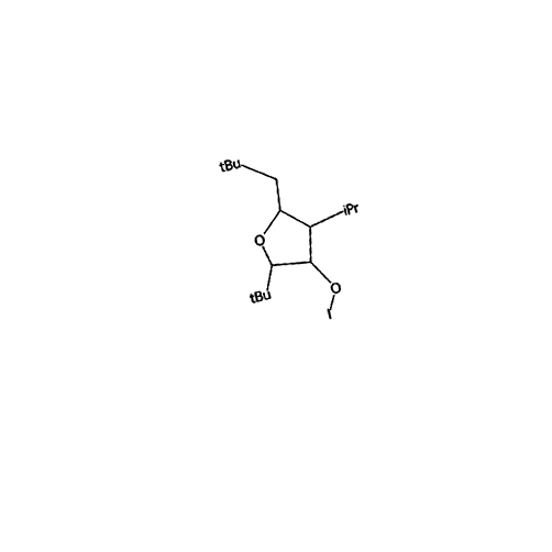 CC(C)C1C(CC(C)(C)C)OC(C(C)(C)C)C1OI